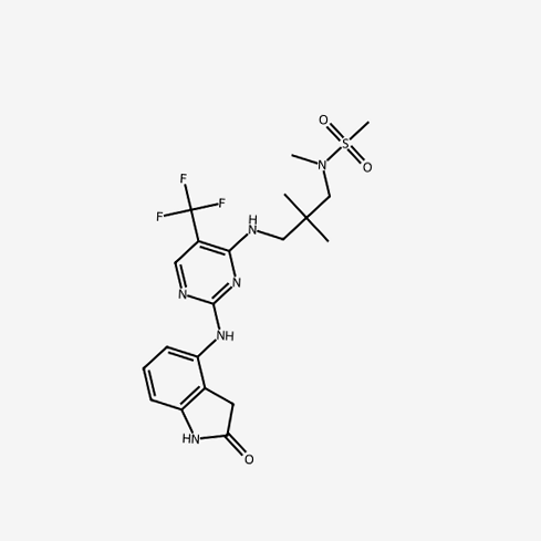 CN(CC(C)(C)CNc1nc(Nc2cccc3c2CC(=O)N3)ncc1C(F)(F)F)S(C)(=O)=O